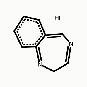 C1=NC=c2ccccc2=NC1.I